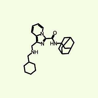 O=C(NC12CC3CC(CC(C3)C1)C2)c1nc(CNCC2CCCCC2)c2ccccn12